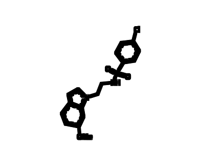 COc1ccc2ccn(CCNS(=O)(=O)c3ccc(Cl)cc3)c2c1